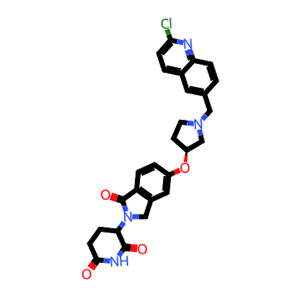 O=C1CCC(N2Cc3cc(O[C@H]4CCN(Cc5ccc6nc(Cl)ccc6c5)C4)ccc3C2=O)C(=O)N1